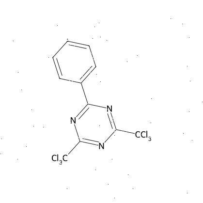 ClC(Cl)(Cl)c1nc(-c2cc[c]cc2)nc(C(Cl)(Cl)Cl)n1